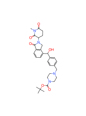 CN1C(=O)CCC(N2Cc3c(cccc3C(O)c3ccc(CN4CCN(C(=O)OC(C)(C)C)CC4)cc3)C2=O)C1=O